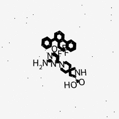 Nc1nc(O[C@H](c2c(-c3ccccc3)cccc2-c2ccccc2)C(F)(F)F)cc(N2CCC3(CC2)CN[C@H](C(=O)O)C3)n1